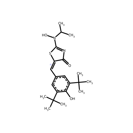 CC(C)N(O)C1=NC(=O)/C(=C\c2cc(C(C)(C)C)c(O)c(C(C)(C)C)c2)S1